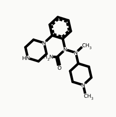 CN1CCC(N(C)N(C(N)=O)c2ccccc2N2CCNCC2)CC1